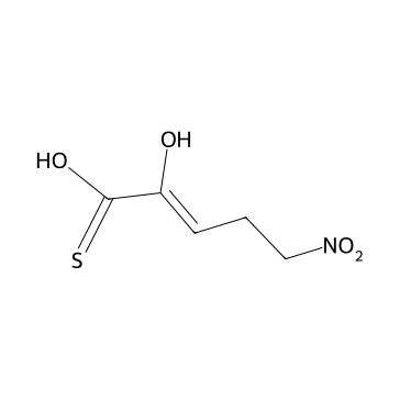 O=[N+]([O-])CCC=C(O)C(O)=S